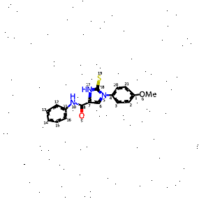 COc1ccc(-n2cc(C(=O)Nc3ccccc3)[nH]c2=S)cc1